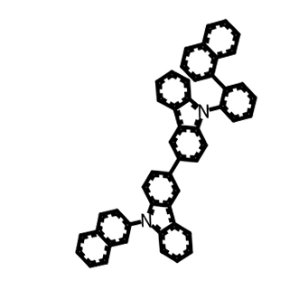 c1ccc(-n2c3ccccc3c3cc(-c4ccc5c(c4)c4ccccc4n5-c4ccc5ccccc5c4)ccc32)c(-c2cccc3ccccc23)c1